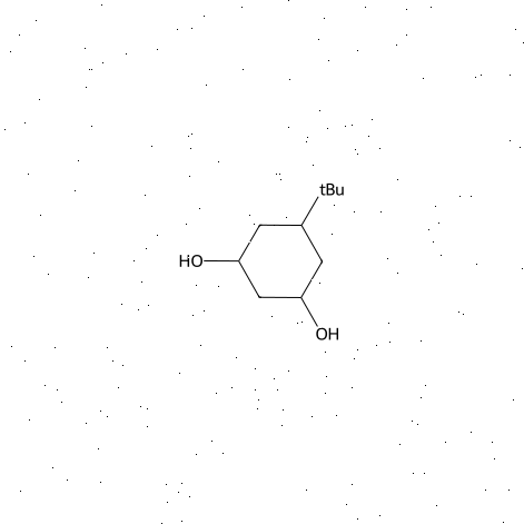 CC(C)(C)C1CC(O)CC(O)C1